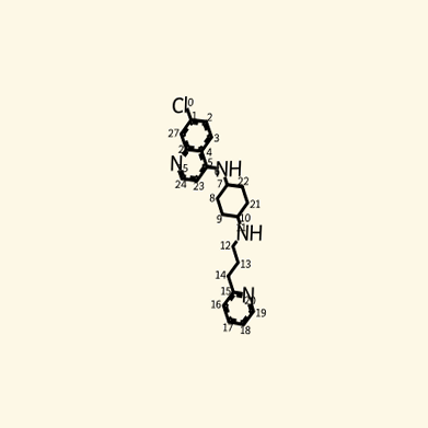 Clc1ccc2c(NC3CCC(NCCCc4ccccn4)CC3)ccnc2c1